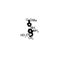 COC(=O)C1CCC(Nc2ccc3c(c2N)CC[C@H](C)N3C(=O)O)C1